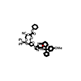 COc1ccc(C(Nc2ncnc3c2ncn3[C@H]2CC(OP(OCCC#N)N(C(C)C)C(C)C)[C@@H](COC(=O)C(=O)OC3CCCCC3)O2)(c2ccccc2)c2ccccc2)cc1